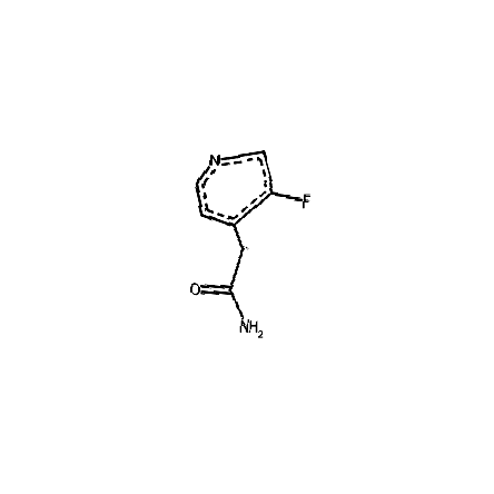 NC(=O)[CH]c1ccncc1F